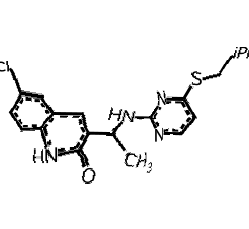 CC(C)CSc1ccnc(NC(C)c2cc3cc(Cl)ccc3[nH]c2=O)n1